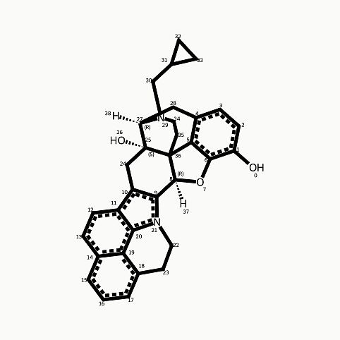 Oc1ccc2c3c1O[C@H]1c4c(c5ccc6cccc7c6c5n4CC7)C[C@@]4(O)[C@@H](C2)N(CC2CC2)CCC314